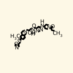 CCCC(=O)N1CCC(Nc2cc(C(=O)NC[C@H](O)CN3CCc4c(ccc(OCc5cnco5)c4C)C3)ncn2)CC1